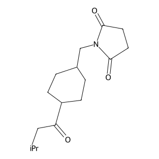 CC(C)CC(=O)C1CCC(CN2C(=O)CCC2=O)CC1